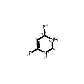 FC1=CC(F)NCN1